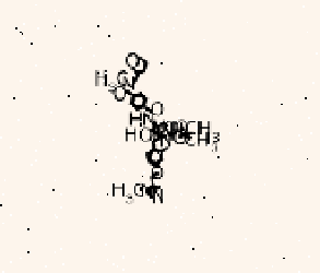 CN(CC1CCCOC1)C(=O)c1ccc(C(=O)NC[C@@H](O)[C@@]2(O)Cc3ccc(OCc4cncn4C)cc3CN2C(=O)OC(C)(C)C)cc1